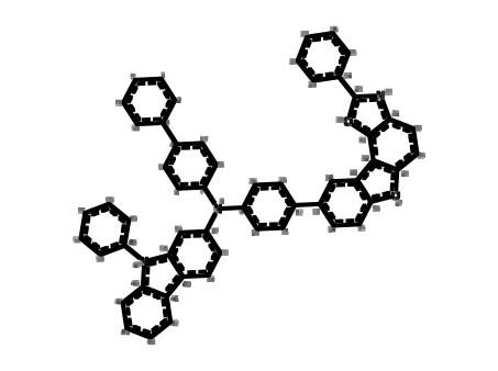 c1ccc(-c2ccc(N(c3ccc(-c4ccc5oc6ccc7nc(-c8ccccc8)oc7c6c5c4)cc3)c3ccc4c5ccccc5n(-c5ccccc5)c4c3)cc2)cc1